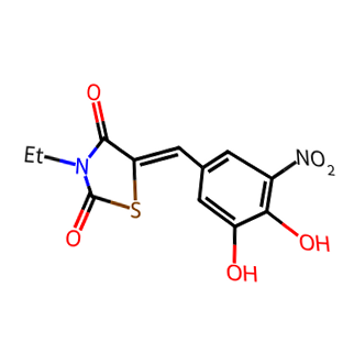 CCN1C(=O)S/C(=C\c2cc(O)c(O)c([N+](=O)[O-])c2)C1=O